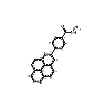 NNC(=O)c1ccc(-c2cc3ccc4cccc5ccc(c2)c3c45)cc1